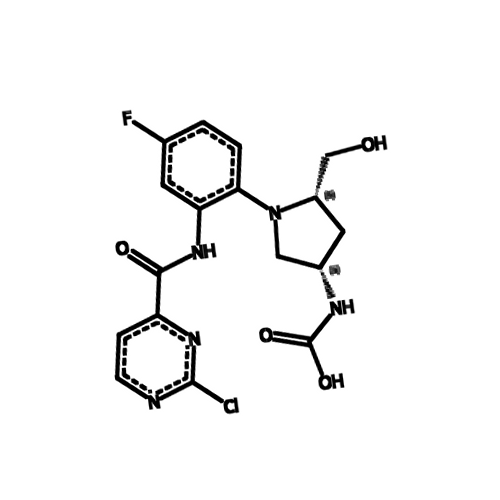 O=C(O)N[C@H]1C[C@@H](CO)N(c2ccc(F)cc2NC(=O)c2ccnc(Cl)n2)C1